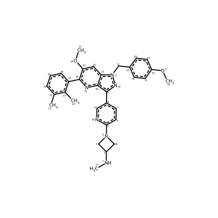 CNC1CN(c2ccc(-c3nn(Cc4ccc(OC)cc4)c4cc(OC)c(-c5cccc(C)c5C)nc34)cn2)C1